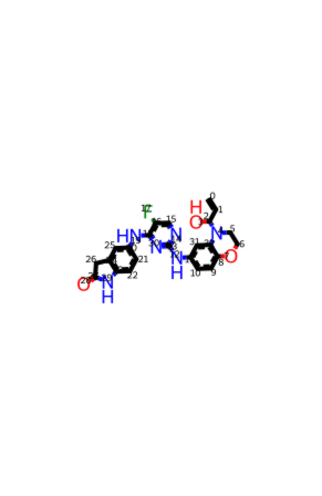 C=CC(O)N1CCOc2ccc(Nc3ncc(F)c(Nc4ccc5c(c4)CC(=O)N5)n3)cc21